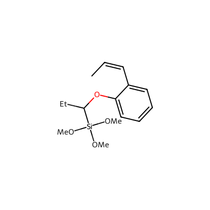 C/C=C\c1ccccc1OC(CC)[Si](OC)(OC)OC